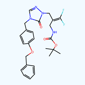 CC(C)(C)OC(=O)NCC(Cn1ncn(Cc2ccc(OCc3ccccc3)cc2)c1=O)=C(F)F